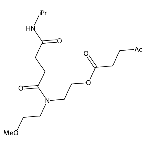 COCCN(CCOC(=O)CCC(C)=O)C(=O)CCC(=O)NC(C)C